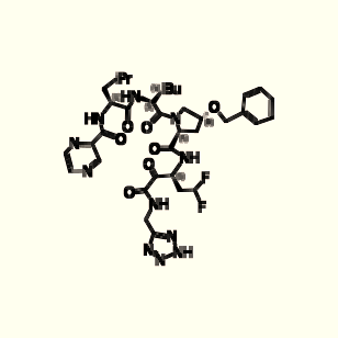 CC[C@H](C)[C@H](NC(=O)[C@H](CC(C)C)NC(=O)c1cnccn1)C(=O)N1C[C@H](OCc2ccccc2)C[C@H]1C(=O)N[C@@H](CC(F)F)C(=O)C(=O)NCc1nn[nH]n1